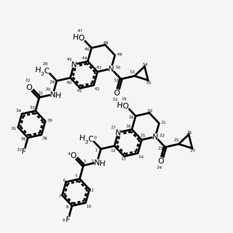 CC(NC(=O)c1ccc(F)cc1)c1ccc2c(n1)C(O)CCN2C(=O)C1CC1.CC(NC(=O)c1ccc(F)cc1)c1ccc2c(n1)C(O)CCN2C(=O)C1CC1